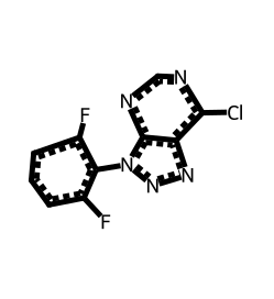 Fc1cccc(F)c1-n1nnc2c(Cl)ncnc21